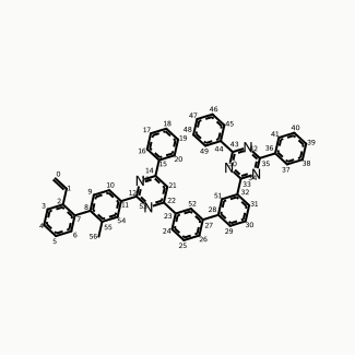 C=Cc1ccccc1-c1ccc(-c2nc(-c3ccccc3)cc(-c3cccc(-c4cccc(-c5nc(-c6ccccc6)nc(-c6ccccc6)n5)c4)c3)n2)cc1C